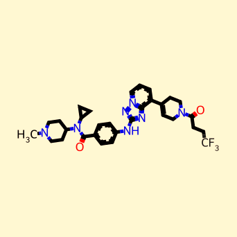 CN1CCC(N(C(=O)c2ccc(Nc3nc4c(C5=CCN(C(=O)CCC(F)(F)F)CC5)cccn4n3)cc2)C2CC2)CC1